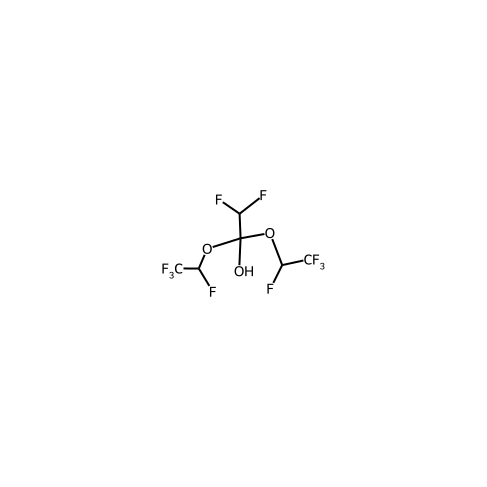 OC(OC(F)C(F)(F)F)(OC(F)C(F)(F)F)C(F)F